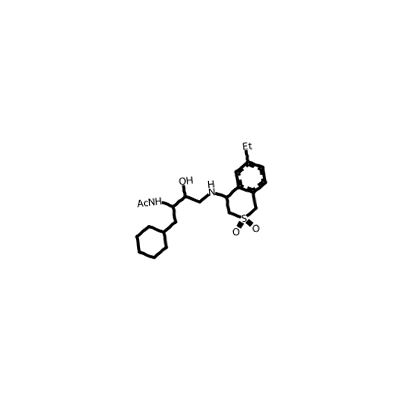 CCc1ccc2c(c1)C(NCC(O)C(CC1CCCCC1)NC(C)=O)CS(=O)(=O)C2